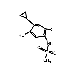 CS(=O)(=O)Nc1cc(O)c(C2CC2)cc1Cl